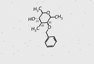 CC1OC(C)[C@@H](OCc2ccccc2)[C@@H](C)[C@@H]1O